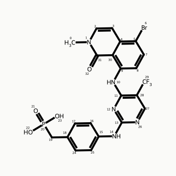 Cn1ccc2c(Br)ccc(Nc3nc(Nc4ccc(CP(=O)(O)O)cc4)ncc3C(F)(F)F)c2c1=O